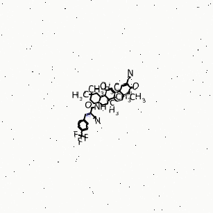 C[C@H]1C(=O)C(C#N)=CC2(C)C3=CC(=O)C4C5CC(C)(C)CCC5(NC(=O)/C(C#N)=C/c5ccc(C(F)(F)F)cc5)CC[C@@]4(C)C3(C)CCC12